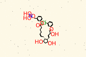 O=C(CCC/C=C\C[C@@H]1[C@@H](/C=C/[C@@H](O)COc2cccc(Cl)c2)[C@H](O)C[C@@H]1O)Oc1cccc(CON(O)O)c1